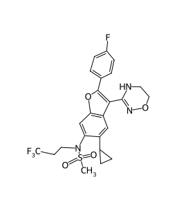 CS(=O)(=O)N(CCC(F)(F)F)c1cc2oc(-c3ccc(F)cc3)c(C3=NOCCN3)c2cc1C1CC1